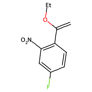 C=C(OCC)c1ccc(F)cc1[N+](=O)[O-]